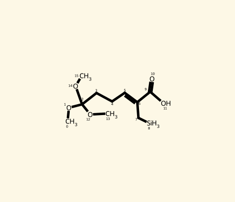 COC(CCC=C(C[SiH3])C(=O)O)(OC)OC